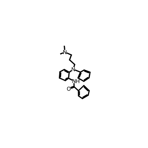 CN(C)CCCN(c1ccccc1)c1ccccc1NC(=O)c1ccccc1